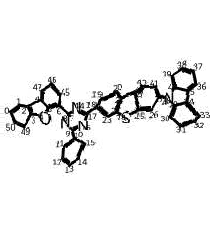 C1=Cc2c(oc3c(-c4nc(-c5ccccc5)nc(-c5ccc6c(c5)sc5cc(-n7c8ccccc8c8ccccc87)ccc56)n4)cccc23)CC1